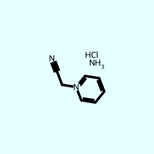 Cl.N.N#CC[n+]1ccccc1